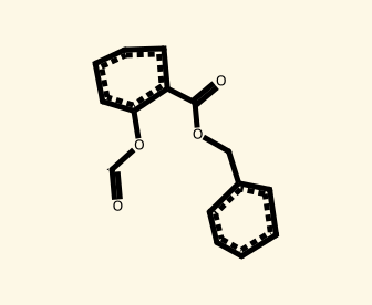 O=[C]Oc1ccccc1C(=O)OCc1ccccc1